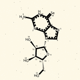 Nc1nc2c(ncn2[C@@H]2O[C@H](CO)[C@@H](O)[C@H]2O)c(=[Se])[nH]1